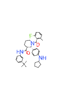 Cc1cccc(F)c1C(=O)N1CCC[C@H](C(=O)Nc2cccc(C(C)(C)C)c2)[C@H]1c1ccc(NC2CCCC2)cc1